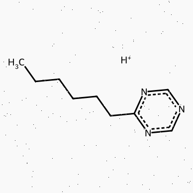 CCCCCCc1ncncn1.[H+]